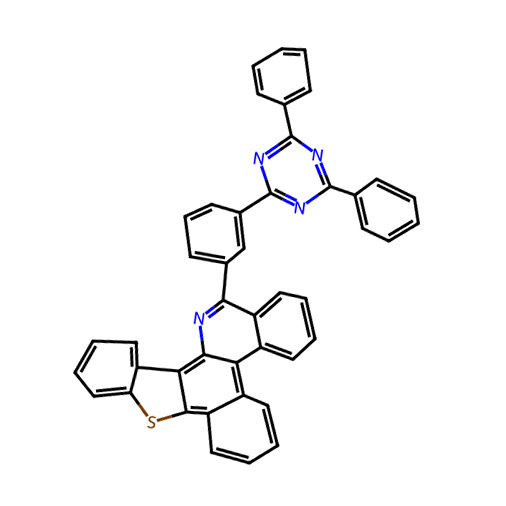 c1ccc(-c2nc(-c3ccccc3)nc(-c3cccc(-c4nc5c(c6ccccc46)c4ccccc4c4sc6ccccc6c54)c3)n2)cc1